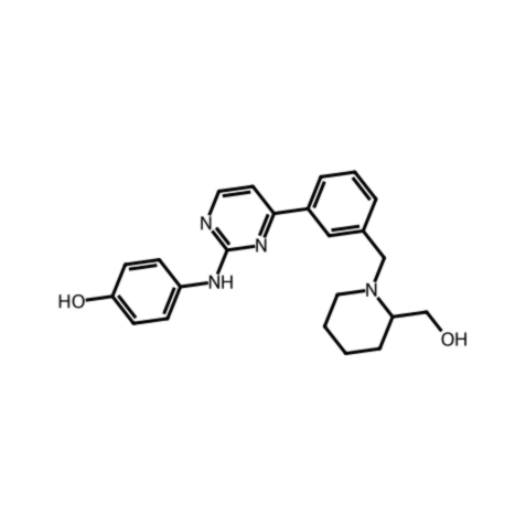 OCC1CCCCN1Cc1cccc(-c2ccnc(Nc3ccc(O)cc3)n2)c1